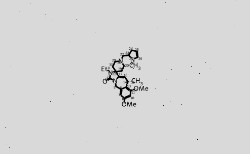 CCN1C(=O)N2Cc3cc(OC)cc(OC)c3[C@@H](C)C=C2C12CCN(CC1CC=CN1C)CC2